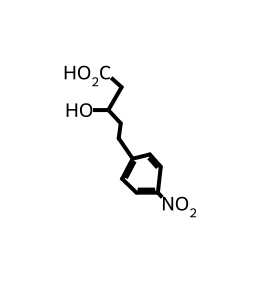 O=C(O)CC(O)CCc1ccc([N+](=O)[O-])cc1